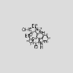 CCc1ccc(C(=O)c2[nH]c3ccccc3c2CC2NCN(CC)C2C(=O)C=O)s1